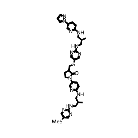 CSc1cnc(NCC(C)CNc2ccc(N3CCC(CSc4cnc(NCC(C)CNc5ccc(-n6cccn6)cn5)nc4)C3=O)cn2)nc1